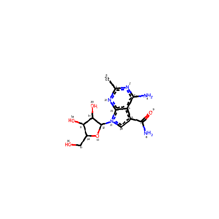 CCc1nc(N)c2c(C(N)=O)cn(C3OC(CO)C(O)C3O)c2n1